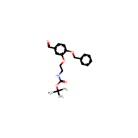 CC(C)(C)OC(=O)NCCOc1cc(C=O)ccc1OCc1ccccc1